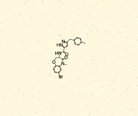 Cc1ccc(Cc2cc(C(=O)NC3COc4ccc(Br)cc4N(C)C3=O)[nH]n2)cc1